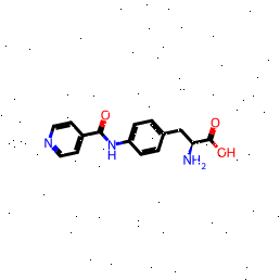 N[C@@H](Cc1ccc(NC(=O)c2ccncc2)cc1)C(=O)O